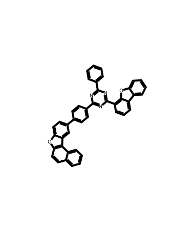 c1ccc(-c2nc(-c3ccc(-c4ccc5oc6ccc7ccccc7c6c5c4)cc3)nc(-c3cccc4c3oc3ccccc34)n2)cc1